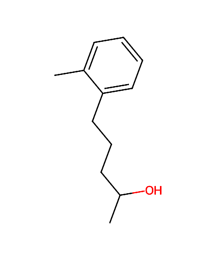 Cc1ccccc1CCCC(C)O